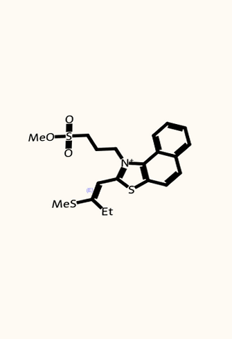 CC/C(=C\c1sc2ccc3ccccc3c2[n+]1CCCS(=O)(=O)OC)SC